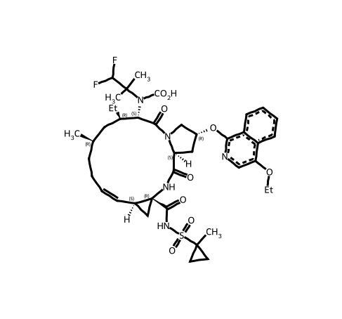 CCOc1cnc(O[C@@H]2C[C@H]3C(=O)N[C@]4(C(=O)NS(=O)(=O)C5(C)CC5)C[C@H]4C=CCC[C@@H](C)C[C@@H](CC)[C@H](N(C(=O)O)C(C)(C)C(F)F)C(=O)N3C2)c2ccccc12